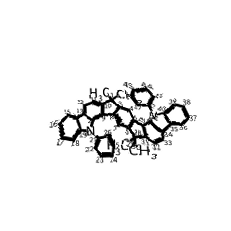 CC1(C)c2cc3c(cc2-c2c1ccc1c4ccccc4n(-c4ccccc4)c21)C(C)(C)c1ccc2c4ccccc4n(-c4ccccc4)c2c1-3